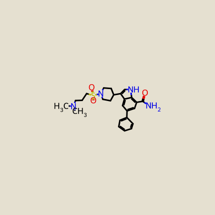 CN(C)CCCS(=O)(=O)N1CCC(c2c[nH]c3c(C(N)=O)cc(-c4ccccc4)cc23)CC1